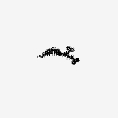 CC(C)(C)OC(=O)Nc1ccc2c(c1)[C@@]1(C)CCC[C@](C)(C(=O)NC(=O)[C@@]3(C)CCC[C@]4(C)c5cc(NC(=O)[C@H](CCCCNC(=O)OCC6c7ccccc7-c7ccccc76)NC(=O)OCC6c7ccccc7-c7ccccc76)ccc5CC[C@@H]34)[C@@H]1CC2